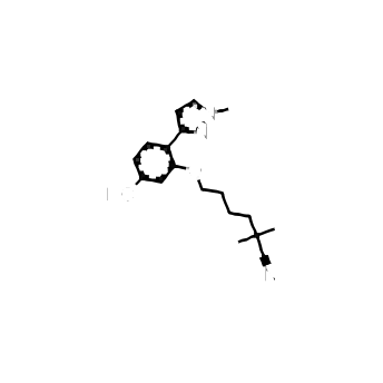 Cn1ccc(-c2ccc(O)cc2OCCCCC(C)(C)C#N)n1